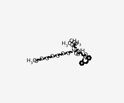 COCCOCCOCCOCCOCCOCCOCCNC(=O)[C@H](CCC(=O)OC(C)(C)C)NC(=O)CCC(=O)N1Cc2ccccc2C#Cc2ccccc21